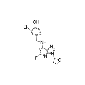 Oc1ccc(CNc2nc(F)nc3c2ncn3C2CCO2)cc1Cl